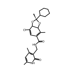 CC1=C(C(=O)NCc2c(C)cc(C)[nH]c2=O)C=C(Cl)C2O[C@](C)(C3CCCCC3)OC12